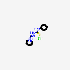 S=C(NN=C[n+]1ccccc1)Nc1ccccc1.[Cl-]